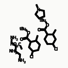 CC(=O)O.CC1CC(Cl)CCC1C(=O)OC(C)(C)C.CC1CCC(Cl)CC1C(=O)OC(C)(C)C.CN1CCCC1.N.NCCCCN